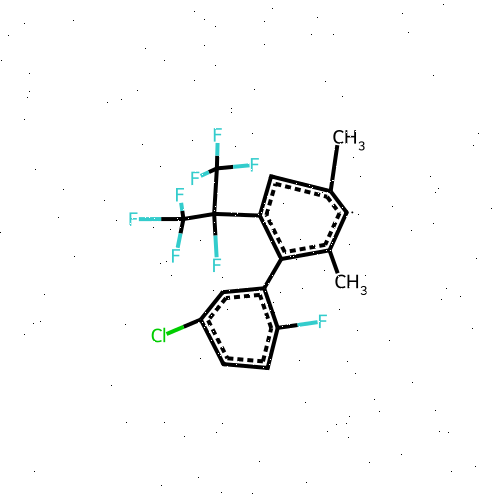 Cc1[c]c(C)c(-c2cc(Cl)ccc2F)c(C(F)(C(F)(F)F)C(F)(F)F)c1